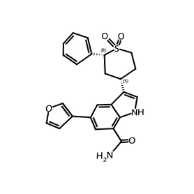 NC(=O)c1cc(-c2ccoc2)cc2c([C@H]3CCS(=O)(=O)[C@@H](c4ccccc4)C3)c[nH]c12